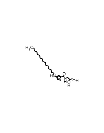 CCCCCCCCCCCCCCCCNc1csc(C(=O)NCC(O)CO)c1